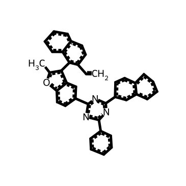 C=Cc1ccc2ccccc2c1-c1c(C)oc2ccc(-c3nc(-c4ccccc4)nc(-c4ccc5ccccc5c4)n3)cc12